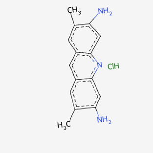 Cc1cc2cc3cc(C)c(N)cc3nc2cc1N.Cl